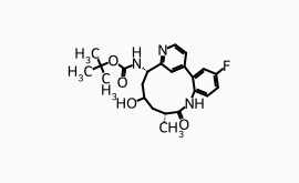 C[C@@H]1CC(O)C[C@H](NC(=O)OC(C)(C)C)c2cc(ccn2)-c2cc(F)ccc2NC1=O